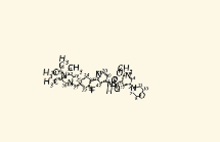 COc1ncc(N2CCOCC2)cc1S(=O)(=O)Nc1ccnc(-c2ccc(CN3C[C@@H](C)N(C(C)C)[C@@H](C)C3)cc2F)c1